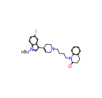 CCCCn1cc(C2=CCN(CCCCN3C(=O)CCc4ccccc43)CC2)c2cc(F)ccc21